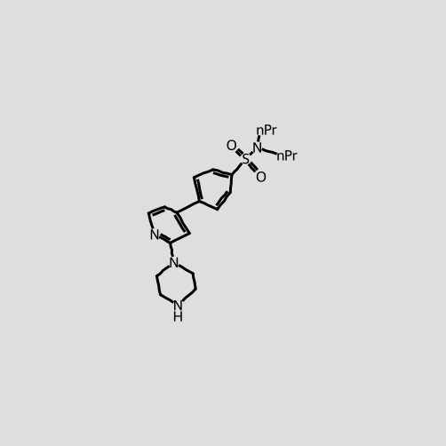 CCCN(CCC)S(=O)(=O)c1ccc(-c2ccnc(N3CCNCC3)c2)cc1